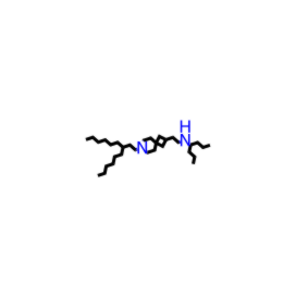 CCCCCCC(CCCCCC)CCN1CCC2(CC1)CC(CCNC(CCC)CCC)C2